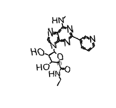 CCNC(=O)[C@@H]1OC(n2cnc3c(NC)nc(-c4cccnc4)nc32)C(O)C1O